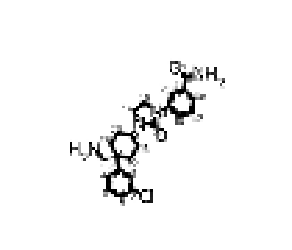 NC[C@]1(c2cccc(Cl)c2)CC[C@H](N2CCN(c3cccc(C(N)=O)c3)C2=O)CC1